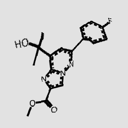 COC(=O)c1cn2nc(-c3ccc(F)cc3)cc(C(C)(C)O)c2n1